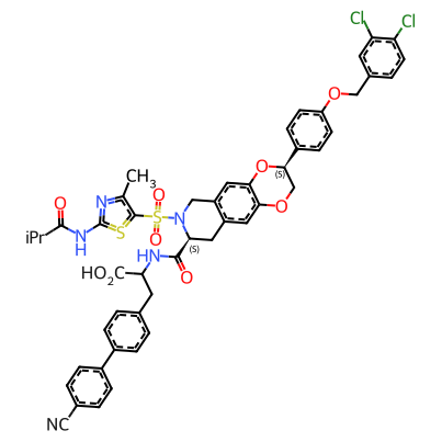 Cc1nc(NC(=O)C(C)C)sc1S(=O)(=O)N1Cc2cc3c(cc2C[C@H]1C(=O)NC(Cc1ccc(-c2ccc(C#N)cc2)cc1)C(=O)O)OC[C@H](c1ccc(OCc2ccc(Cl)c(Cl)c2)cc1)O3